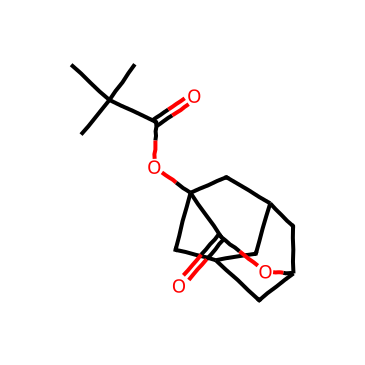 CC(C)(C)C(=O)OC12CC3CC(CC(C3)OC1=O)C2